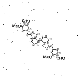 COc1cc(/C=C2\CCc3c2cccc3-c2cccc3c2CC/C3=C\c2ccc(C=O)c(OC)c2)ccc1C=O